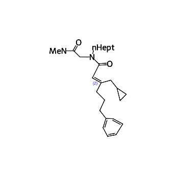 CCCCCCCN(CC(=O)NC)C(=O)/C=C(/CCCc1ccccc1)CC1CC1